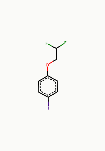 FC(F)COc1ccc(I)cc1